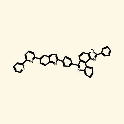 c1ccc(-c2nc3c(ccc4c(-c5ccc(-c6ccc7cc(-c8cccc(-c9ccccn9)n8)ccc7n6)cc5)nc5ccccc5c43)o2)cc1